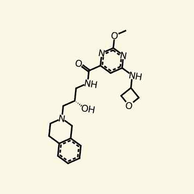 COc1nc(NC2COC2)cc(C(=O)NC[C@H](O)CN2CCc3ccccc3C2)n1